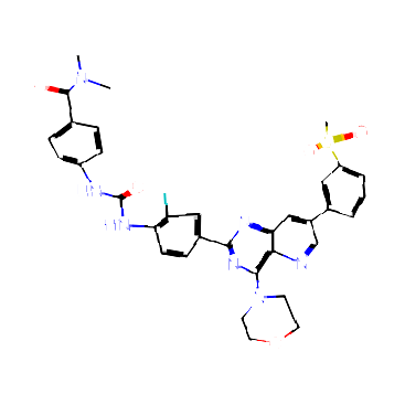 CN(C)C(=O)c1ccc(NC(=O)Nc2ccc(-c3nc(N4CCOCC4)c4ncc(-c5cccc(S(C)(=O)=O)c5)cc4n3)cc2F)cc1